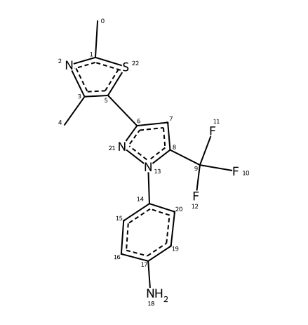 Cc1nc(C)c(-c2cc(C(F)(F)F)n(-c3ccc(N)cc3)n2)s1